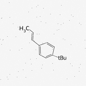 CC=Cc1ccc(C(C)(C)C)cc1